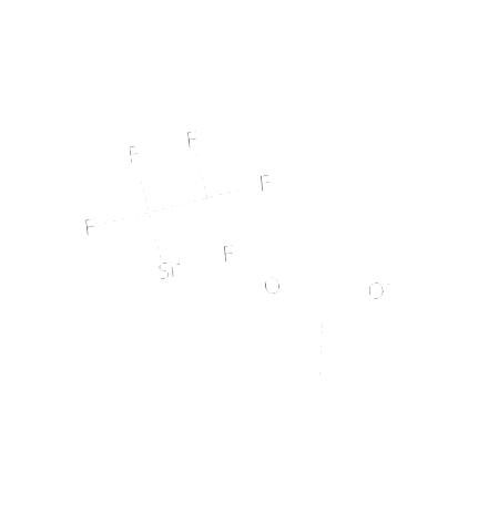 CC(=O)[O-].C[Si+](C)C(F)(F)C(F)(F)F